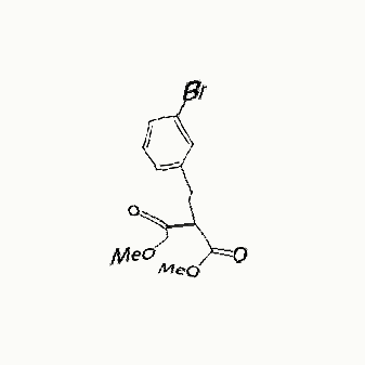 COC(=O)C(Cc1cccc(Br)c1)C(=O)OC